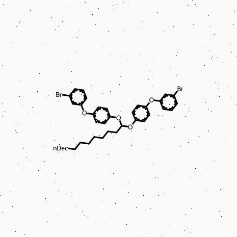 CCCCCCCCCCCCCCCCCC(Oc1ccc(Oc2cccc(Br)c2)cc1)Oc1ccc(Oc2cccc(Br)c2)cc1